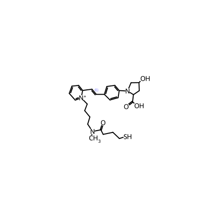 CN(CCCC[n+]1ccccc1/C=C/c1ccc(N2CC(O)CC2C(=O)O)cc1)C(=O)CCCS